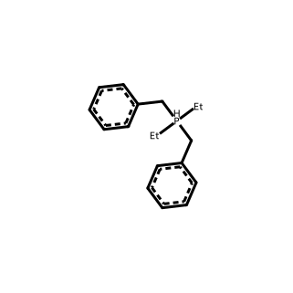 CC[PH](CC)(Cc1ccccc1)Cc1ccccc1